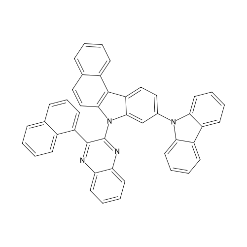 c1ccc2c(-c3nc4ccccc4nc3-n3c4cc(-n5c6ccccc6c6ccccc65)ccc4c4c5ccccc5ccc43)cccc2c1